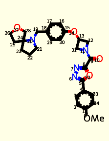 COc1ccc(-c2nnc(C(=O)N3CC(Oc4ccc(CN5CCCC56CCOC6)cc4)C3)o2)cc1